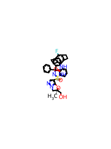 C[C@]1(CO)Cn2ncc([S@@](=O)(=NC(c3ccccc3)(c3ccccc3)c3ccccc3)NC(=O)Nc3c4c(c(F)c5c3CC5)CC4)c2O1